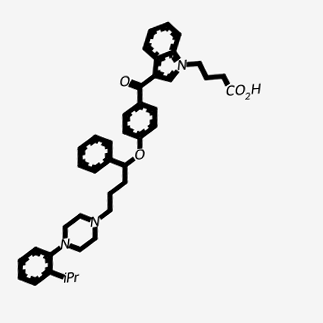 CC(C)c1ccccc1N1CCN(CCCC(Oc2ccc(C(=O)c3cn(CCCC(=O)O)c4ccccc34)cc2)c2ccccc2)CC1